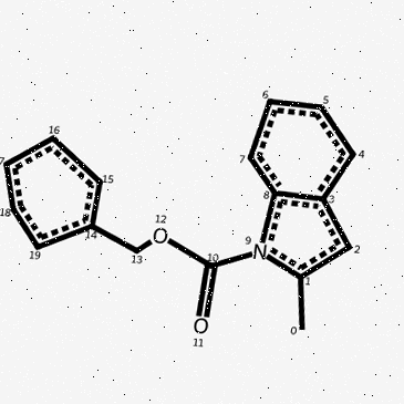 Cc1cc2ccccc2n1C(=O)OCc1ccccc1